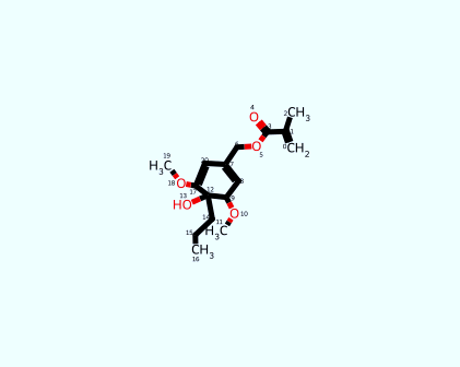 C=C(C)C(=O)OCC1=CC(OC)C(O)(CCC)C(OC)=C1